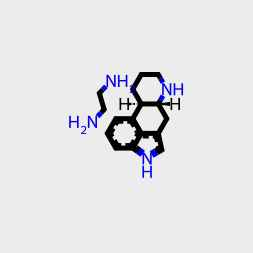 NCCN.c1cc2c3c(c[nH]c3c1)C[C@H]1NCCC[C@H]21